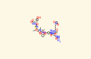 CCCO[C@H](C[C@H](C(C)C)N(CCC)C(=O)[C@@H](NC(=O)[C@H]1CCCCC1C(=O)OCc1ccc(NC(=O)[C@H](CCCNC(N)=O)NC(=O)[C@@H](NC(=O)CCCCCN2C(=O)C=CC2=O)C(C)C)cc1)[C@@H](C)CC)c1nc(C(=O)N[C@@H](Cc2ccc(O)cc2)C[C@H](C)C(=O)OC)cs1